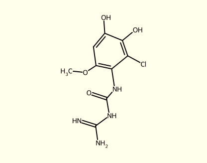 COc1cc(O)c(O)c(Cl)c1NC(=O)NC(=N)N